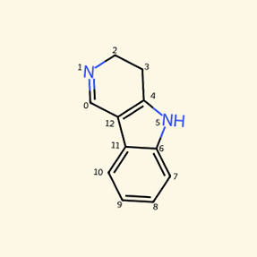 C1=NCCc2[nH]c3ccccc3c21